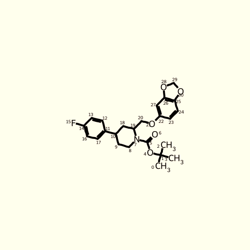 CC(C)(C)OC(=O)N1CCC(c2ccc(F)cc2)CC1COc1ccc2c(c1)OCO2